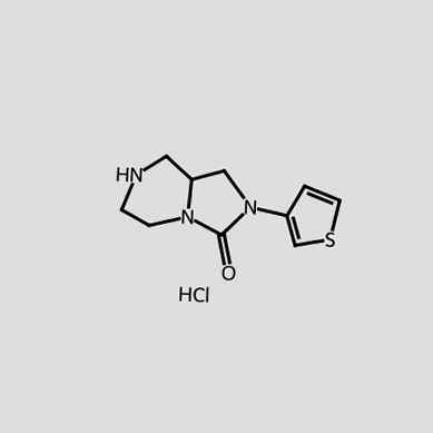 Cl.O=C1N(c2ccsc2)CC2CNCCN12